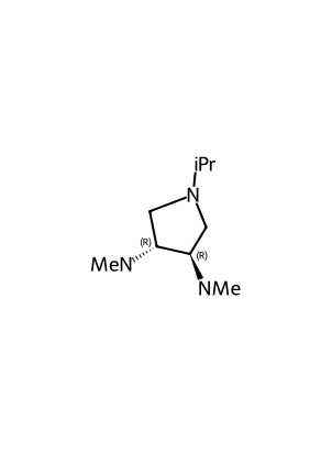 CN[C@@H]1CN(C(C)C)C[C@H]1NC